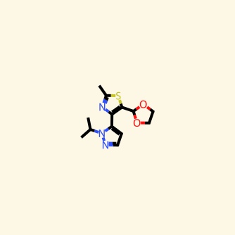 Cc1nc(-c2ccnn2C(C)C)c(C2OCCO2)s1